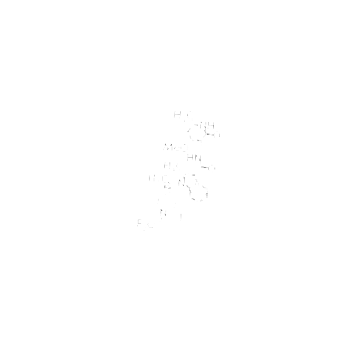 COc1cc(C)[nH]c(=O)c1CNC(=O)c1c(C)n([C@H](C)C2CCN(CC(F)(F)F)C(I)C2)c2ccccc12